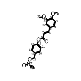 COc1ccc(C=CC(=O)Oc2ccc(CO[N+](=O)[O-])cc2)cc1OC